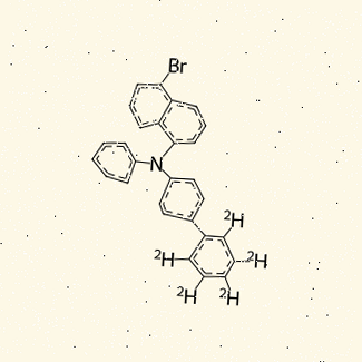 [2H]c1c([2H])c([2H])c(-c2ccc(N(c3ccccc3)c3cccc4c(Br)cccc34)cc2)c([2H])c1[2H]